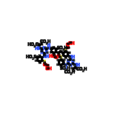 O=C(O)CC(Nc1nc(Nc2ccc(/C=C/c3ccc(Nc4nc(Nc5cc(SOOO)ccc5S(=O)(=O)O)nc(NC(CC(=O)O)C(=O)O)n4)cc3SOOO)c(S(=O)(=O)O)c2)nc(Nc2cc(S(=O)(=O)O)ccc2SOOO)n1)C(=O)O